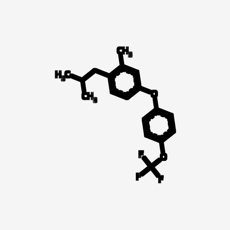 Cc1cc(Oc2ccc(OC(F)(F)F)cc2)ccc1CC(C)C